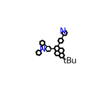 CC(C)(C)c1cc2ccc3c(C4=CC5c6ccccc6N(c6ccccc6)C5C=C4)cc(-c4ccc(-c5cccnc5)cc4)c4ccc(c1)c2c34